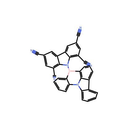 N#Cc1cc(C#N)c2c(c1)c1cc(C#N)cc(C#N)c1n2B1c2ccccc2-n2c3ccccc3c3cccc1c32